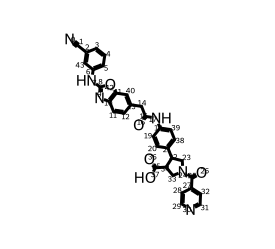 N#Cc1cccc(Nc2nc3ccc(CC(=O)Nc4ccc(C5CN(C(=O)c6ccncc6)CC5C(=O)O)cc4)cc3o2)c1